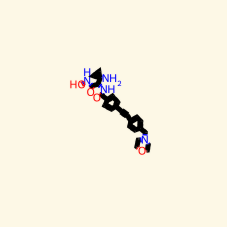 NC1(C(NC(=O)c2ccc(C#Cc3ccc(CN4CCOCC4)cc3)cc2)C(=O)NO)CC1